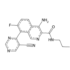 CCCNC(=O)c1ncc2c(-c3ncncc3C#N)c(F)ccc2c1N